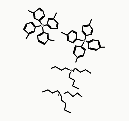 CCCC[NH+](CCCC)CCCC.CCCC[NH+](CCCC)CCCC.Cc1cc[c]([Al-]([c]2ccc(C)cc2)([c]2ccc(C)cc2)[c]2ccc(C)cc2)cc1.Cc1ccc[c]([Al-]([c]2cccc(C)c2)([c]2cccc(C)c2)[c]2cccc(C)c2)c1